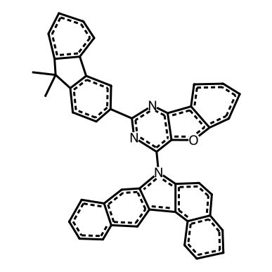 CC1(C)c2ccccc2-c2cc(-c3nc(-n4c5cc6ccccc6cc5c5c6ccccc6ccc54)c4oc5ccccc5c4n3)ccc21